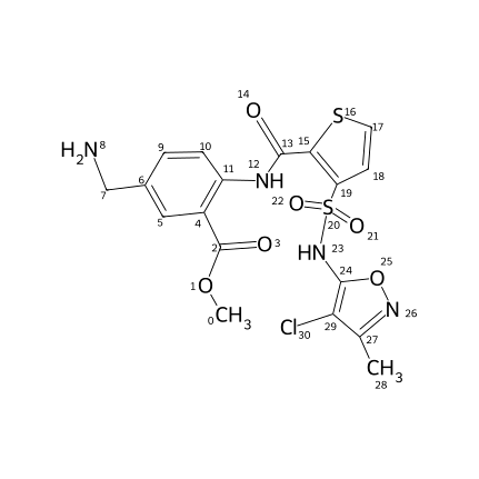 COC(=O)c1cc(CN)ccc1NC(=O)c1sccc1S(=O)(=O)Nc1onc(C)c1Cl